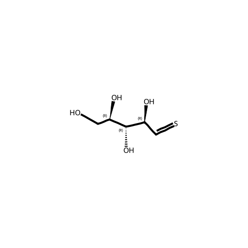 OC[C@@H](O)[C@@H](O)[C@@H](O)C=S